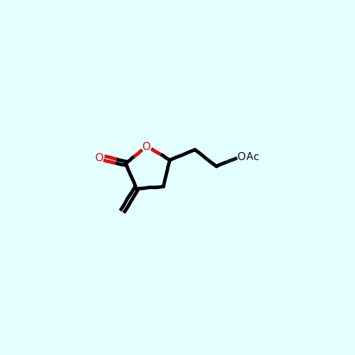 C=C1CC(CCOC(C)=O)OC1=O